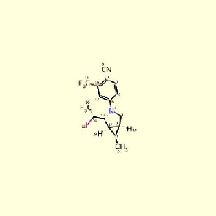 C[C@@H]1[C@@H]2CN(c3ccc(C#N)c(C(F)(F)F)c3)[C@@H]([C@H](I)C(F)(F)F)[C@H]12